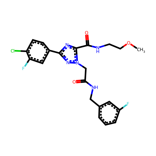 COCCNC(=O)c1nc(-c2ccc(Cl)c(F)c2)nn1CC(=O)NCc1cccc(F)c1